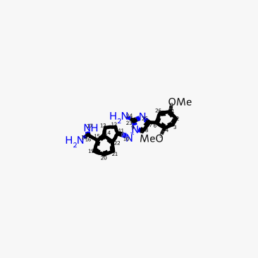 COc1ccc(OC)c(-c2cn(/N=C3\CCc4c(C(=N)N)cccc43)c(N)n2)c1